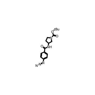 CC(C)(C)OC(=O)N1CCC(NC(=O)c2ccc(N=[N+]=[N-])cc2)C1